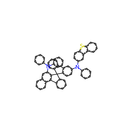 c1ccc(N(c2ccc3c(c2)-c2ccccc2C32c3ccccc3-c3c2c(N(c2ccccc2)c2ccccc2)cc2ccccc32)c2ccc3sc4ccccc4c3c2)cc1